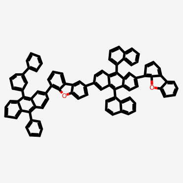 c1ccc(-c2cccc(-c3c4ccccc4c(-c4ccccc4)c4ccc(-c5cccc6c5oc5ccc(-c7ccc8c(-c9cccc%10ccccc9%10)c9cc(-c%10cccc%11c%10oc%10ccccc%10%11)ccc9c(-c9cccc%10ccccc9%10)c8c7)cc56)cc34)c2)cc1